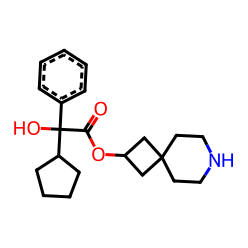 O=C(OC1CC2(CCNCC2)C1)C(O)(c1ccccc1)C1CCCC1